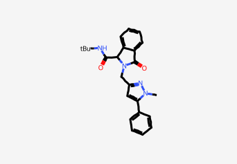 Cn1nc(CN2C(=O)c3ccccc3C2C(=O)NC(C)(C)C)cc1-c1ccccc1